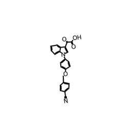 N#Cc1ccc(COc2ccc(-n3cc(C(=O)C(=O)O)c4ccccc43)cc2)cc1